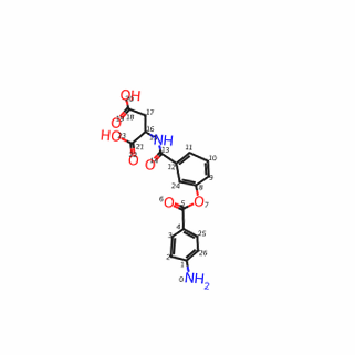 Nc1ccc(C(=O)Oc2cccc(C(=O)NC(CC(=O)O)C(=O)O)c2)cc1